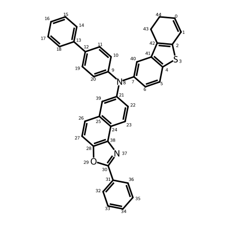 C1=Cc2sc3ccc(N(c4ccc(-c5ccccc5)cc4)c4ccc5c(ccc6oc(-c7ccccc7)nc65)c4)cc3c2CC1